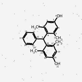 Cc1cc(O)cc(C)c1C(c1ccccc1)c1c(C)cc(O)cc1C